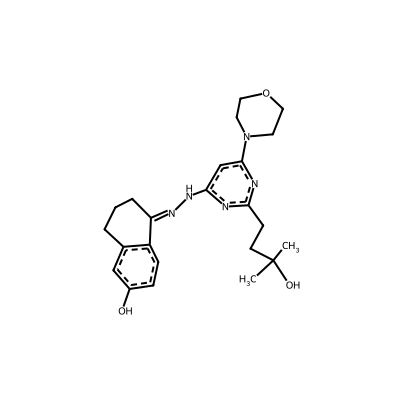 CC(C)(O)CCc1nc(NN=C2CCCc3cc(O)ccc32)cc(N2CCOCC2)n1